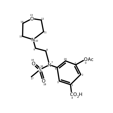 CC(=O)Oc1cc(C(=O)O)cc(N(CCN2CCOCC2)S(C)(=O)=O)c1